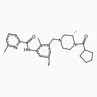 Cc1cccc(C(=O)Nc2cc(F)cc(CN3CCN(C(=O)C4CCCC4)[C@@H](C)C3)c2C)n1